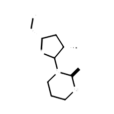 O=C1NCCCN1C1O[C@H](CO)C[C@@H]1F